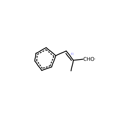 C/C([C]=O)=C\c1ccccc1